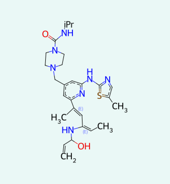 C=CC(O)NC(=C/C)/C=C(\C)c1cc(CN2CCN(C(=O)NC(C)C)CC2)cc(Nc2ncc(C)s2)n1